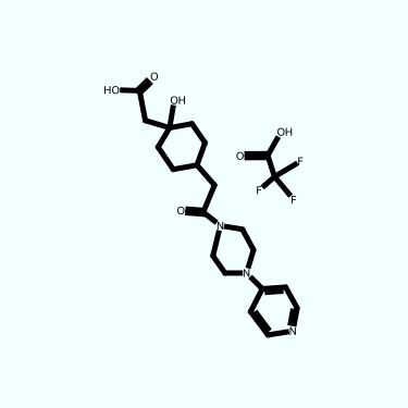 O=C(O)C(F)(F)F.O=C(O)CC1(O)CCC(CC(=O)N2CCN(c3ccncc3)CC2)CC1